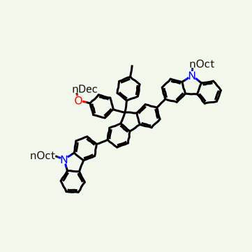 CCCCCCCCCCOc1ccc(C2(c3ccc(C)cc3)c3cc(-c4ccc5c(c4)c4ccccc4n5CCCCCCCC)ccc3-c3ccc(-c4ccc5c(c4)c4ccccc4n5CCCCCCCC)cc32)cc1